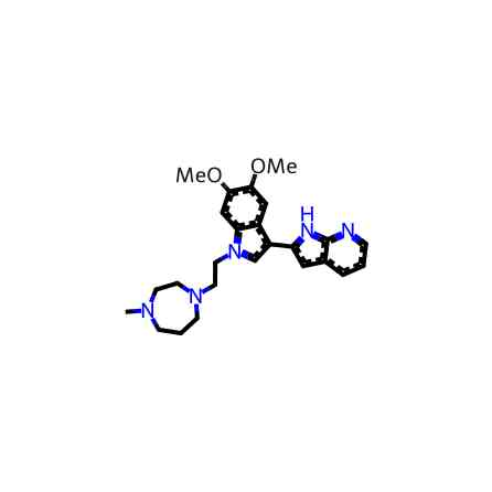 COc1cc2c(-c3cc4cccnc4[nH]3)cn(CCN3CCCN(C)CC3)c2cc1OC